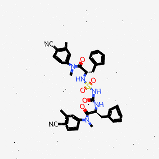 Cc1cc(N(C)C(=O)[C@H](Cc2ccccc2)NC(=O)NS(=O)(=O)N[C@@H](Cc2ccccc2)C(=O)N(C)c2ccc(C#N)c(C)c2)ccc1C#N